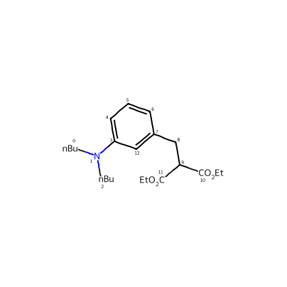 CCCCN(CCCC)c1cccc(CC(C(=O)OCC)C(=O)OCC)c1